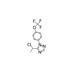 CC(Cl)c1ncnn1-c1ccc(OC(F)(F)F)cc1